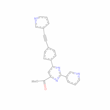 COC(=O)c1cc(-c2ccc(C#Cc3cccnc3)cc2)nc(-c2cccnc2)n1